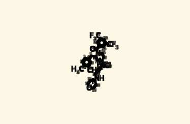 Cc1ccc(C[C@@H]2CN(CC#CCNN3CCOCC3)CCN2C(=O)c2cc(C(F)(F)F)cc(C(F)(F)F)c2)cc1C.Cl.Cl